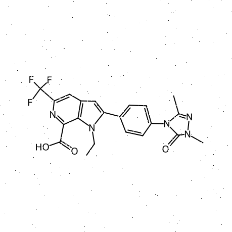 CCn1c(-c2ccc(-n3c(C)nn(C)c3=O)cc2)cc2cc(C(F)(F)F)nc(C(=O)O)c21